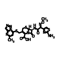 CON=C(C(=O)N[C@@H]1C(=O)N2C(C(=O)O)=C(CSc3cc(C)nc4cnnn34)CS[C@H]12)c1csc(N)n1